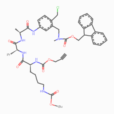 C#CCOC(=O)N[C@@H](CCCCNC(=O)OC(C)(C)C)C(=O)N[C@H](C(=O)N[C@@H](C)C(=O)Nc1ccc(CCl)c(CN(C)C(=O)OCC2c3ccccc3-c3ccccc32)c1)C(C)C